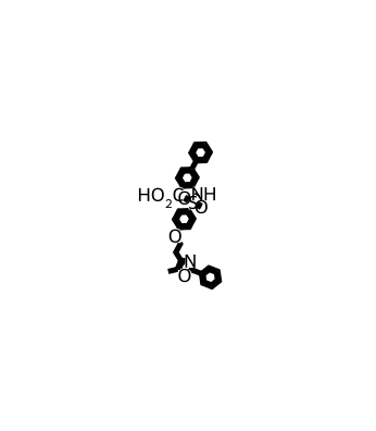 Cc1oc(-c2ccccc2)nc1CCOc1ccc(S(=O)(=O)Nc2cc(-c3ccccc3)ccc2C(=O)O)cc1